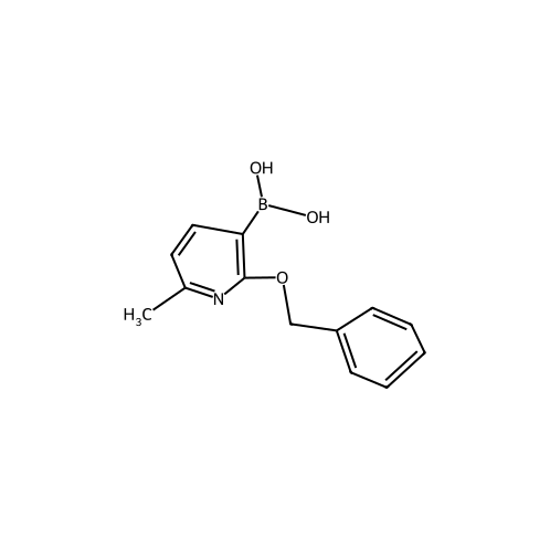 Cc1ccc(B(O)O)c(OCc2ccccc2)n1